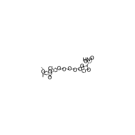 CCOC1=CC2OC(c3ccc(OCCOCCOCCOCCOc4cccc5c4C(=O)C4C(=C4C4CCC(=O)NC4=O)C5=O)cc3Cl)=CC(=O)C2C=C1I